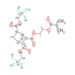 C=C(C)C(=O)OCCOC(=O)C1C2CC(CC2C(=O)OCC(F)(F)F)C1C(=O)OCC(F)(F)F